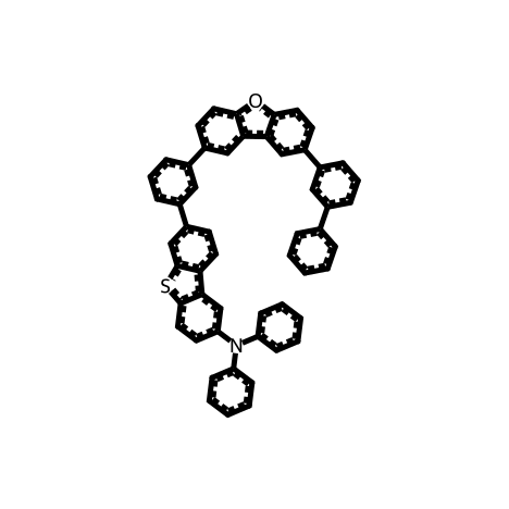 c1ccc(-c2cccc(-c3ccc4oc5ccc(-c6cccc(-c7ccc8c(c7)sc7ccc(N(c9ccccc9)c9ccccc9)cc78)c6)cc5c4c3)c2)cc1